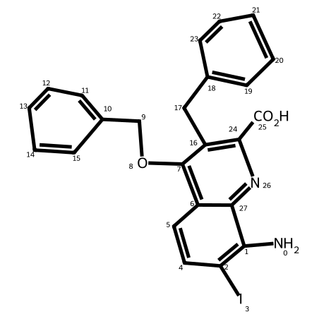 Nc1c(I)ccc2c(OCc3ccccc3)c(Cc3ccccc3)c(C(=O)O)nc12